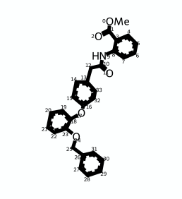 COC(=O)c1ccccc1NC(=O)Cc1ccc(Oc2ccccc2OCc2ccccc2)cc1